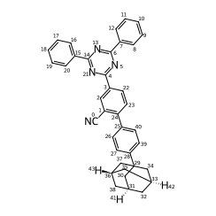 N#Cc1cc(-c2nc(-c3ccccc3)nc(-c3ccccc3)n2)ccc1-c1ccc(C23C[C@H]4C[C@H](C2)C[C@@H](C3)C4)cc1